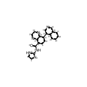 O=C(Nc1ncc[nH]1)c1ccc(-c2cncc3ccccc23)c2nccnc12